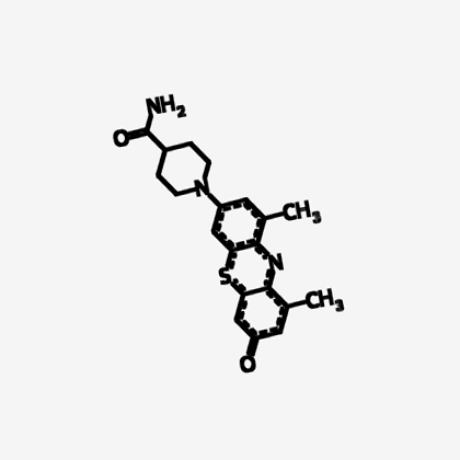 Cc1cc(=O)cc2sc3cc(N4CCC(C(N)=O)CC4)cc(C)c3nc1-2